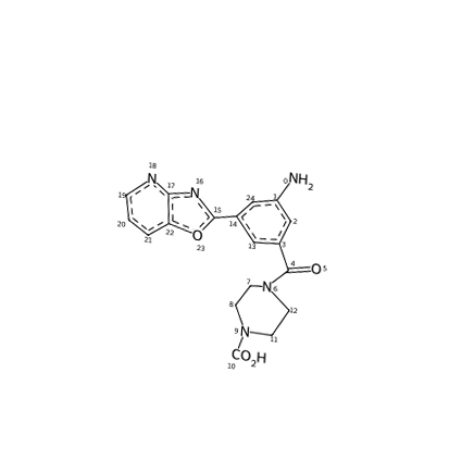 Nc1cc(C(=O)N2CCN(C(=O)O)CC2)cc(-c2nc3ncccc3o2)c1